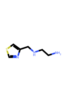 NCCNCc1cscn1